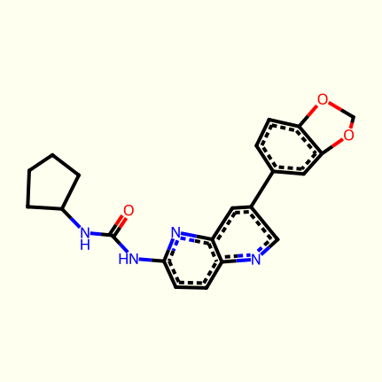 O=C(Nc1ccc2ncc(-c3ccc4c(c3)OCO4)cc2n1)NC1CCCC1